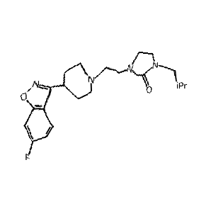 CC(C)CN1CCN(CCN2CCC(c3noc4cc(F)ccc34)CC2)C1=O